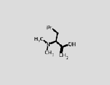 C=C(O)C(CC(C)C)N(C)C